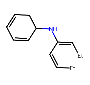 CC/C=C\C(=C/CC)NC1C=CC=CC1